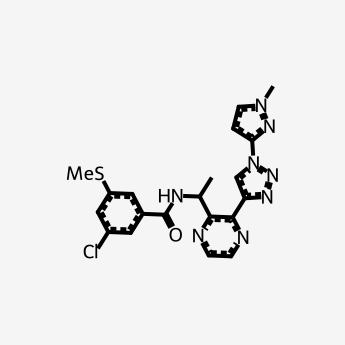 CSc1cc(Cl)cc(C(=O)NC(C)c2nccnc2-c2cn(-c3ccn(C)n3)nn2)c1